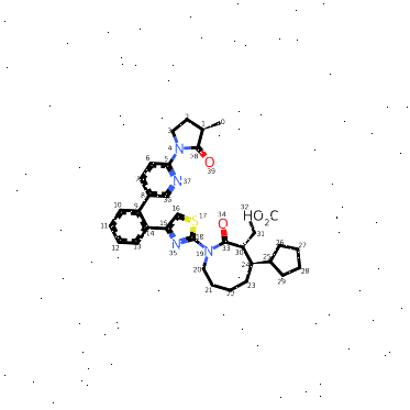 C[C@@H]1CCN(c2ccc(-c3ccccc3-c3csc(N4CCCC[C@H](C5CCCC5)[C@H](CC(=O)O)C4=O)n3)cn2)C1=O